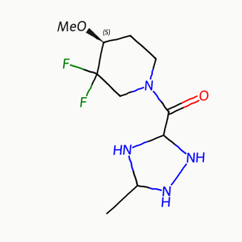 CO[C@H]1CCN(C(=O)C2NNC(C)N2)CC1(F)F